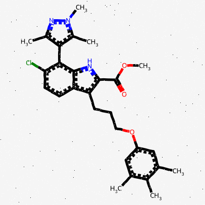 COC(=O)c1[nH]c2c(-c3c(C)nn(C)c3C)c(Cl)ccc2c1CCCOc1cc(C)c(C)c(C)c1